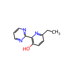 CCc1ccc(O)c(-c2ncccn2)n1